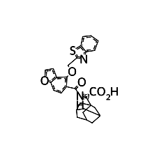 O=C(N[C@H](C(=O)O)C12CC3CC(CC(C3)C1)C2)c1ccc2occc2c1OCc1nc2ccccc2s1